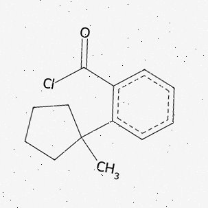 CC1(c2ccccc2C(=O)Cl)CCCC1